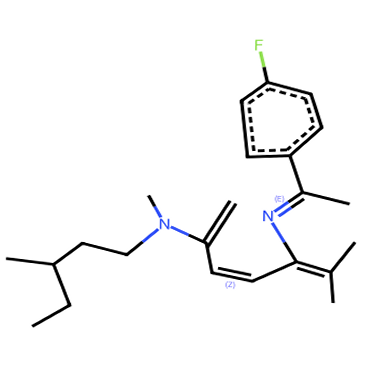 C=C(/C=C\C(/N=C(\C)c1ccc(F)cc1)=C(C)C)N(C)CCC(C)CC